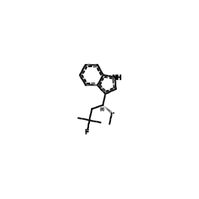 C[CH][C@H](CC(C)(C)F)c1c[nH]c2ccccc12